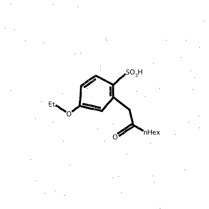 CCCCCCC(=O)Cc1cc(OCC)ccc1S(=O)(=O)O